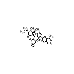 COc1ccc(-c2ccc(C)c(C(C)=O)n2)c(C)c1[C@H]1C2=C(CC3(CCC3)CC2=O)O[C@H]2C[C@@H](C(C)C)N(C)C(=O)[C@@H]21